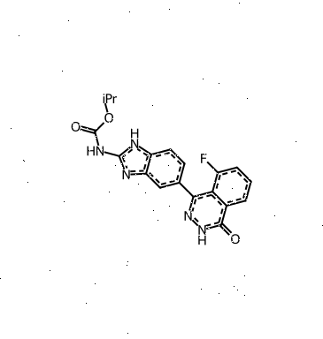 CC(C)OC(=O)Nc1nc2cc(-c3n[nH]c(=O)c4cccc(F)c34)ccc2[nH]1